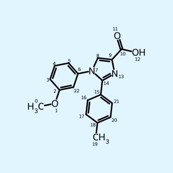 COc1cccc(-n2cc(C(=O)O)nc2-c2ccc(C)cc2)c1